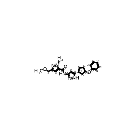 COCc1cc(C(=O)Nc2cc([C@@H]3CC[C@H](Oc4ccccc4)C3)[nH]n2)n(C)n1